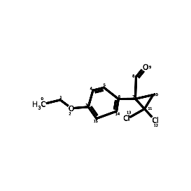 CCOc1ccc(C2(C=O)CC2(Cl)Cl)cc1